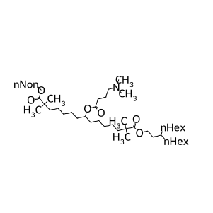 CCCCCCCCCOC(=O)C(C)(C)CCCCCC(CCCCCC(C)(C)C(=O)OCCC(CCCCCC)CCCCCC)OC(=O)CCCN(C)C